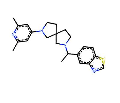 Cc1cc(N2CCC3(CCN(C(C)c4ccc5scnc5c4)C3)C2)cc(C)n1